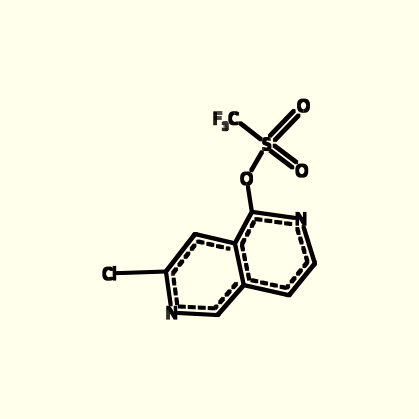 O=S(=O)(Oc1nccc2cnc(Cl)cc12)C(F)(F)F